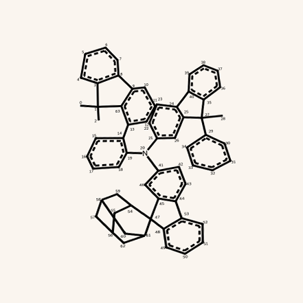 CC1(C)c2ccccc2-c2cccc(-c3ccccc3N(c3ccc4c(c3)C(C)(c3ccccc3)c3ccccc3-4)c3ccc4c(c3)C3(c5ccccc5-4)C4CC5CC(C4)CC3C5)c21